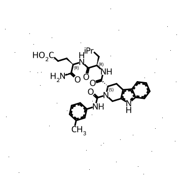 Cc1cccc(NC(=O)N2Cc3[nH]c4ccccc4c3C[C@H]2C(=O)N[C@H](CC(C)C)C(=O)N[C@H](CCC(=O)O)C(N)=O)c1